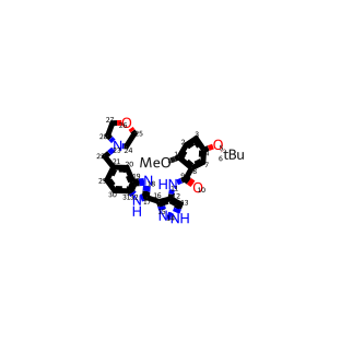 COc1ccc(OC(C)(C)C)cc1C(=O)Nc1c[nH]nc1-c1nc2cc(CN3CCOCC3)ccc2[nH]1